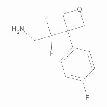 NCC(F)(F)C1(c2ccc(F)cc2)COC1